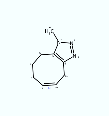 Cn1nnc2c1CCC/C=C\C2